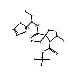 CC[C@H](NC(=O)C1(CO)CCC(C)N1C(=O)OC(C)(C)C)c1nnco1